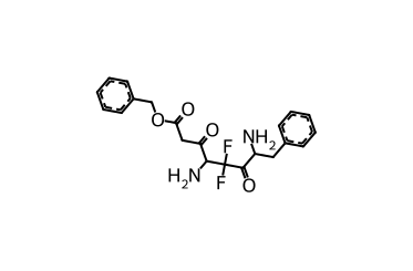 NC(Cc1ccccc1)C(=O)C(F)(F)C(N)C(=O)CC(=O)OCc1ccccc1